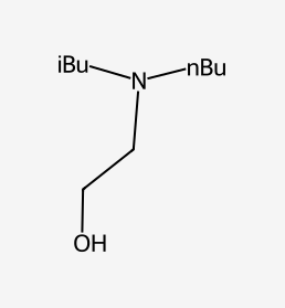 CCCCN(CCO)C(C)CC